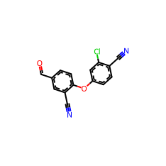 N#Cc1ccc(Oc2ccc(C=O)cc2C#N)cc1Cl